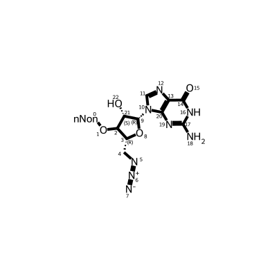 CCCCCCCCCOC1[C@@H](CN=[N+]=[N-])O[C@@H](n2cnc3c(=O)[nH]c(N)nc32)[C@H]1O